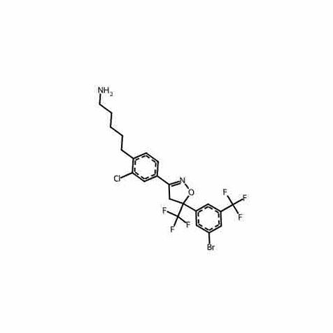 NCCCCCc1ccc(C2=NOC(c3cc(Br)cc(C(F)(F)F)c3)(C(F)(F)F)C2)cc1Cl